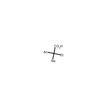 CC[C]([Na])(C(C)=O)C(=O)O